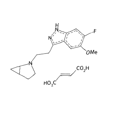 COc1cc2c(CCN3CCC4CC43)n[nH]c2cc1F.O=C(O)/C=C/C(=O)O